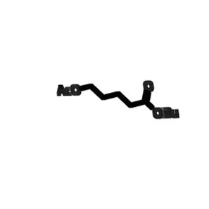 CC(=O)OCCCCC(=O)OCC(C)C